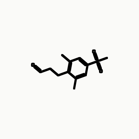 Cc1cc(S(C)(=O)=O)cc(C)c1CCC=O